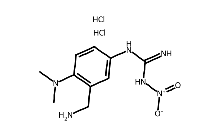 CN(C)c1ccc(NC(=N)N[N+](=O)[O-])cc1CN.Cl.Cl